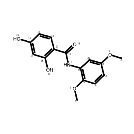 COc1ccc(OC)c(NC(=O)c2ccc(O)cc2O)c1